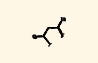 CCC(F)CC([O])F